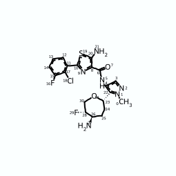 Cn1ncc(NC(=O)c2nc(-c3cccc(F)c3Cl)sc2N)c1[C@@H]1CC[C@@H](N)[C@H](F)CO1